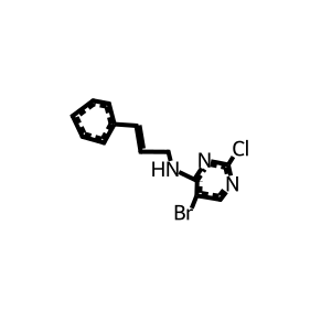 Clc1ncc(Br)c(NCC=Cc2ccccc2)n1